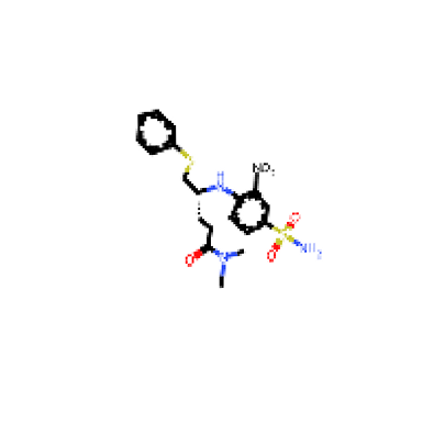 CN(C)C(=O)CC[C@H](CSc1ccccc1)Nc1ccc(S(N)(=O)=O)cc1[N+](=O)[O-]